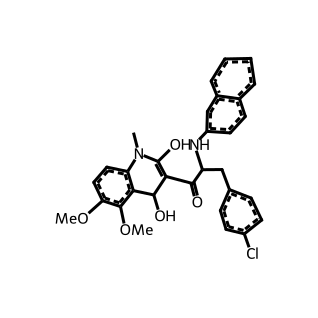 COc1ccc2c(c1OC)C(O)C(C(=O)C(Cc1ccc(Cl)cc1)Nc1ccc3ccccc3c1)=C(O)N2C